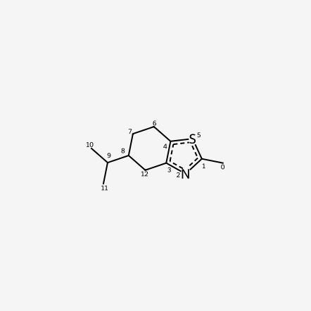 Cc1nc2c(s1)CCC(C(C)C)C2